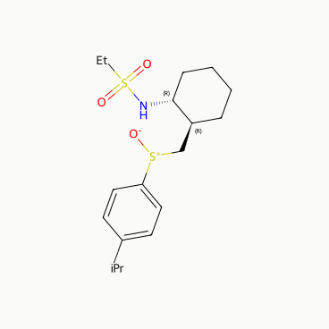 CCS(=O)(=O)N[C@@H]1CCCC[C@H]1C[S+]([O-])c1ccc(C(C)C)cc1